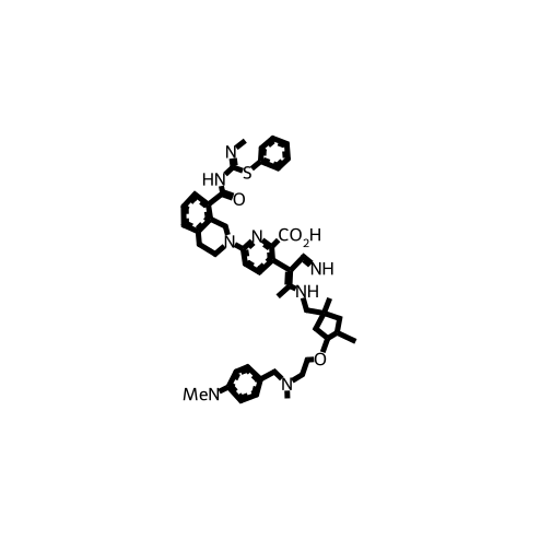 C/N=C(/NC(=O)c1cccc2c1CN(c1ccc(/C(C=N)=C(\C)NCC3(C)CC(C)C(OCCN(C)Cc4ccc(NC)cc4)C3)c(C(=O)O)n1)CC2)Sc1ccccc1